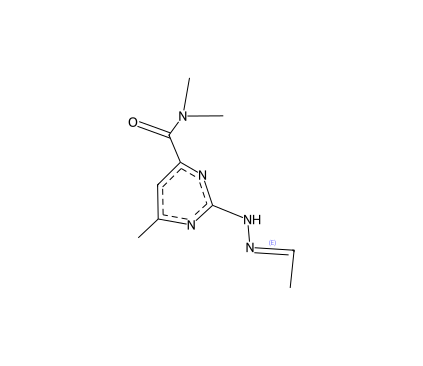 C/C=N/Nc1nc(C)cc(C(=O)N(C)C)n1